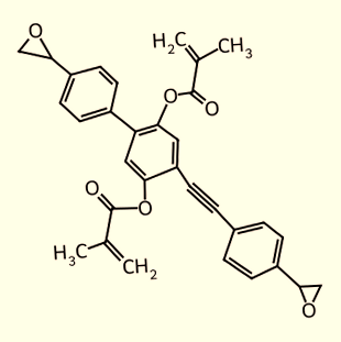 C=C(C)C(=O)Oc1cc(-c2ccc(C3CO3)cc2)c(OC(=O)C(=C)C)cc1C#Cc1ccc(C2CO2)cc1